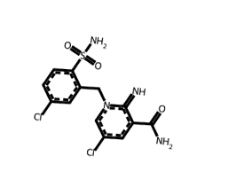 N=c1c(C(N)=O)cc(Cl)cn1Cc1cc(Cl)ccc1S(N)(=O)=O